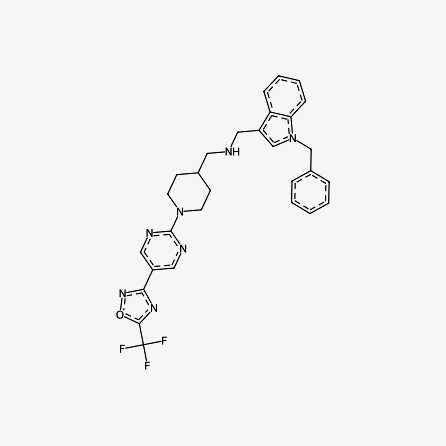 FC(F)(F)c1nc(-c2cnc(N3CCC(CNCc4cn(Cc5ccccc5)c5ccccc45)CC3)nc2)no1